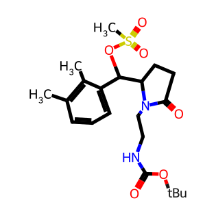 Cc1cccc(C(OS(C)(=O)=O)C2CCC(=O)N2CCNC(=O)OC(C)(C)C)c1C